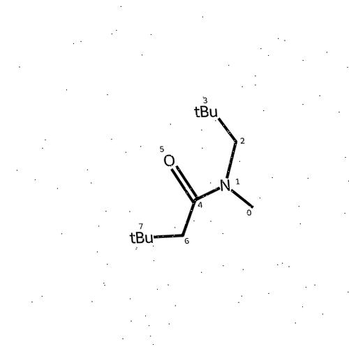 CN(CC(C)(C)C)C(=O)CC(C)(C)C